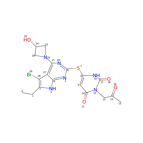 CCc1[nH]c2nc(Sc3cc(=O)n(CC(C)=O)c(=O)[nH]3)nc(N3CC(O)C3)c2c1Br